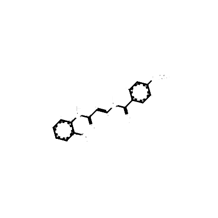 COc1ccc(C(=O)NC=CC(=O)Nc2ccccc2N)cc1